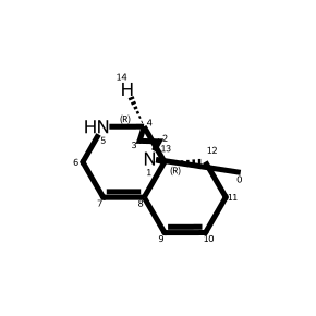 CN1CC[C@H]2NCC=C3C=CCC[C@@]321